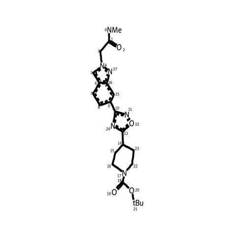 CNC(=O)Cn1cc2ccc(-c3noc(C4CCN(C(=O)OC(C)(C)C)CC4)n3)cc2n1